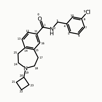 O=C(NCc1cccc(Cl)c1)c1ccc2c(c1)CCN(C1CCC1)CC2